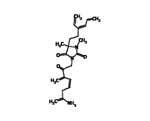 C=C/C=C(\C=C)CCC1(C)C(=O)N(CC(=O)C(=C)/C=C\CC(=C)N)C(=O)N1C